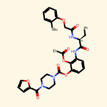 CCC(=O)Oc1c(NC(=O)[C@H](CC(C)C)NC(=O)COc2ccccc2C(C)(C)C)cccc1OC(=O)N1CCN(C(=O)c2ccco2)CC1